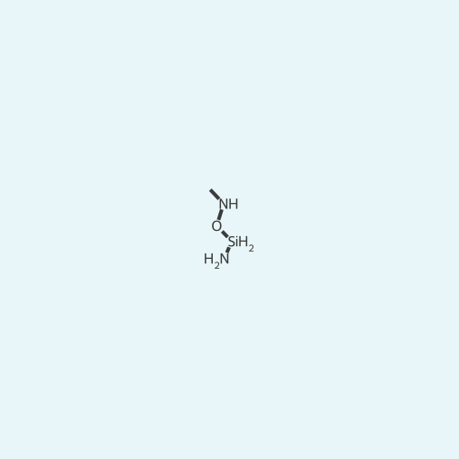 CNO[SiH2]N